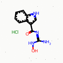 Cl.NC(=NC(=O)c1c[nH]c2ccccc12)NO